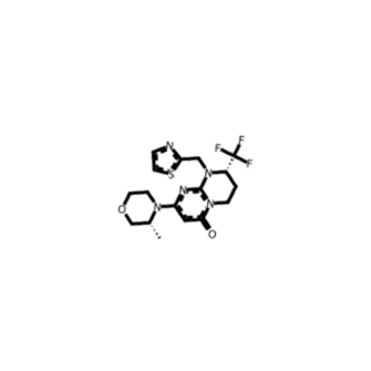 C[C@@H]1COCCN1c1cc(=O)n2c(n1)N(Cc1nccs1)[C@H](C(F)(F)F)CC2